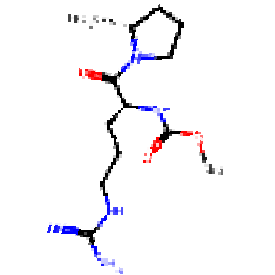 CC(C)(C)OC(=O)N[C@@H](CCCNC(=N)N)C(=O)N1CCC[C@H]1C(=O)O